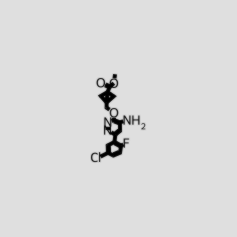 COC(=O)C12CC1(COc1nnc(-c3cc(Cl)ccc3F)cc1N)C2